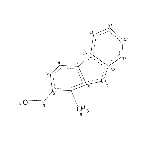 Cc1c(C=O)ccc2c1oc1ccccc12